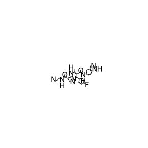 CC1=C(C(=O)Nc2ccc3[nH]ncc3c2)C(c2ccc(F)cc2)n2ncc(C(=O)NCCN(C)C)c2N1